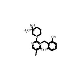 C[C@@]1(N)CCCN(c2ncc(F)c(=O)n2Cc2c(F)cccc2C#N)C1